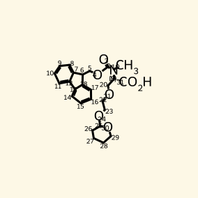 CN(C(=O)OCC1c2ccccc2-c2ccccc21)[C@@H](COCCOC1CCCCO1)C(=O)O